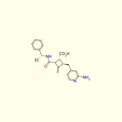 C=C1C(C(=O)N[C@H](CC)c2ccccc2)[C@H](C(=O)O)[C@H]1Cc1ccnc(N)c1